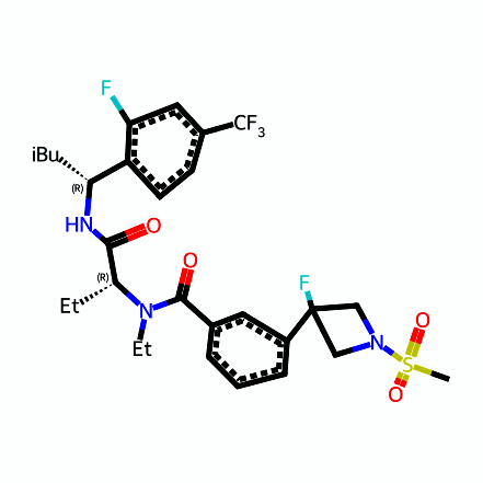 CCC(C)[C@@H](NC(=O)[C@@H](CC)N(CC)C(=O)c1cccc(C2(F)CN(S(C)(=O)=O)C2)c1)c1ccc(C(F)(F)F)cc1F